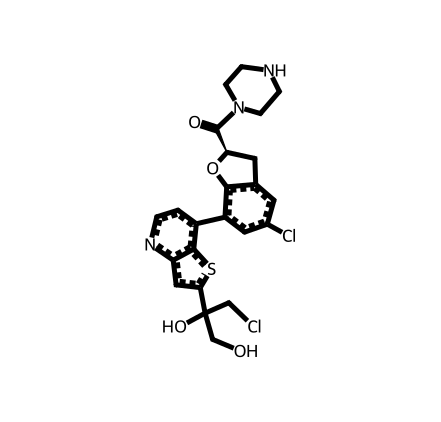 O=C([C@H]1Cc2cc(Cl)cc(-c3ccnc4cc(C(O)(CO)CCl)sc34)c2O1)N1CCNCC1